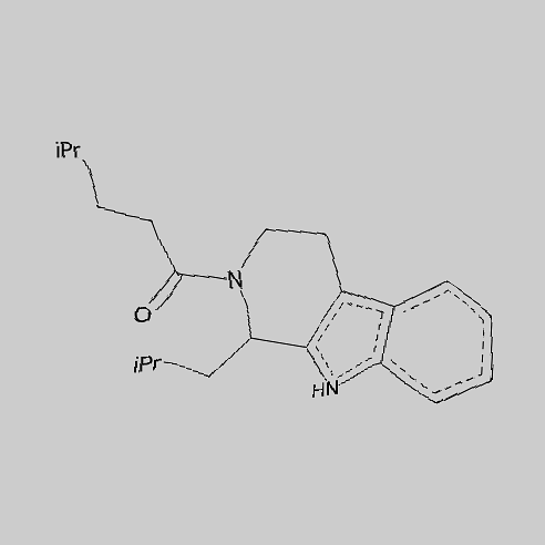 CC(C)CCC(=O)N1CCc2c([nH]c3ccccc23)C1CC(C)C